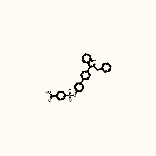 O=C(O)c1ccc(S(=O)(=O)Oc2ccc(-c3ccc(-c4c(Cc5ccccc5)oc5ccccc45)cc3)cc2)cc1